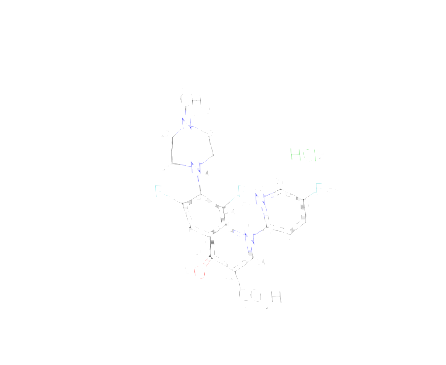 CN1CCN(c2c(F)cc3c(=O)c(C(=O)O)cn(-c4ccc(F)cn4)c3c2F)CC1.Cl